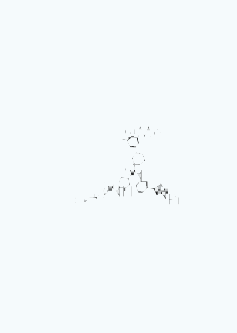 COc1ccc([C@H]2CC[C@H](CN(c3cccc(-c4cnn(C(C)C)c4)c3)C(=O)[C@H]3CC[C@H](NC(=O)COCCCO)CC3)CC2)cc1C